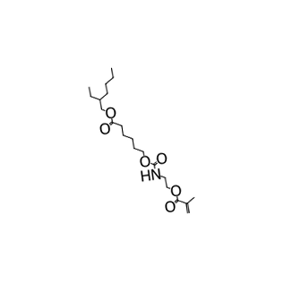 C=C(C)C(=O)OCCNC(=O)OCCCCCC(=O)OCC(CC)CCCC